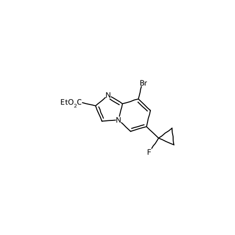 CCOC(=O)c1cn2cc(C3(F)CC3)cc(Br)c2n1